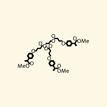 C=C(C(=O)OC)c1ccc(OCCCC(=O)OCC(COC(=O)CCCOc2ccc(C(=C)C(=O)OC)cc2)OC(=O)CCCOc2ccc(C(=C)C(=O)OC)cc2)cc1